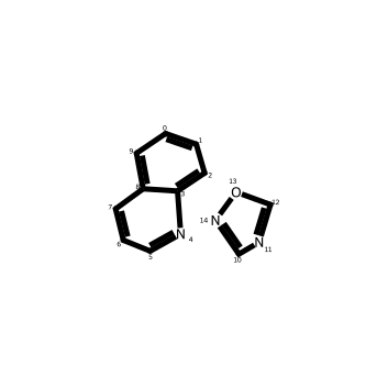 c1ccc2ncccc2c1.c1ncon1